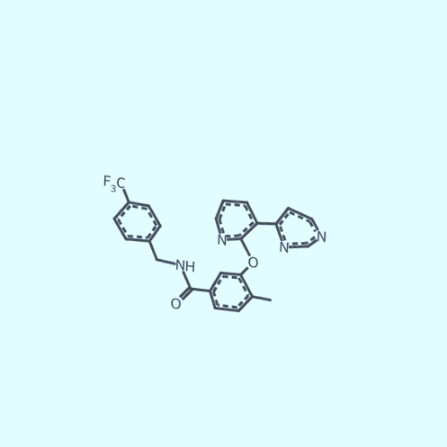 Cc1ccc(C(=O)NCc2ccc(C(F)(F)F)cc2)cc1Oc1ncccc1-c1ccncn1